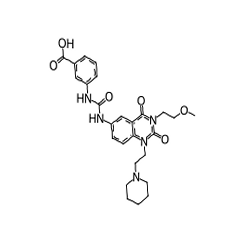 COCCn1c(=O)c2cc(NC(=O)Nc3cccc(C(=O)O)c3)ccc2n(CCN2CCCCC2)c1=O